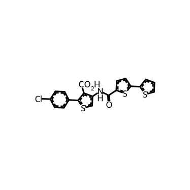 O=C(Nc1csc(-c2ccc(Cl)cc2)c1C(=O)O)c1ccc(-c2cccs2)s1